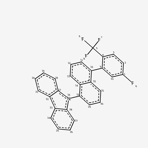 Fc1ccc(C(F)(F)F)c(-c2cccc3c(-n4c5ccccc5c5ccccc54)cccc23)c1